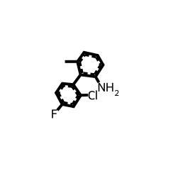 Cc1cccc(N)c1-c1ccc(F)cc1Cl